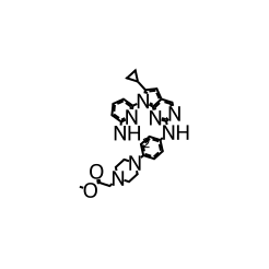 COC(=O)CN1CCN(c2ccc(Nc3ncc4cc(C5CC5)n(-c5cccc(N)n5)c4n3)cc2)CC1